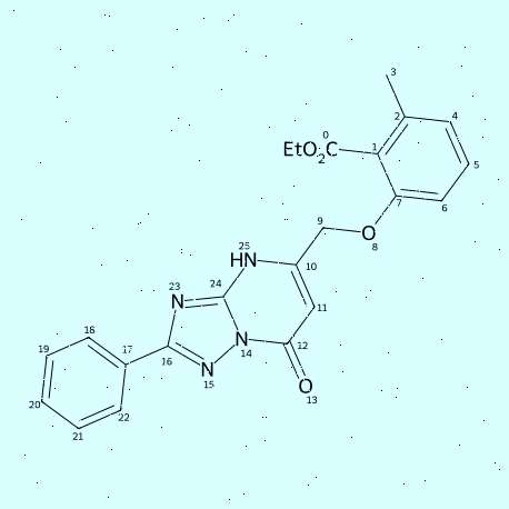 CCOC(=O)c1c(C)cccc1OCc1cc(=O)n2nc(-c3ccccc3)nc2[nH]1